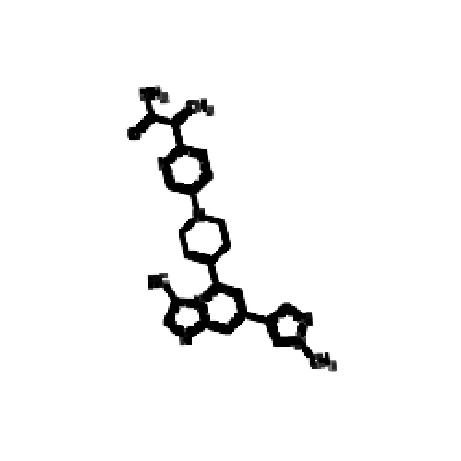 C=C(C(N)=O)c1ccc(N2CC=C(c3cc(-c4cnn(C)c4)cc4ncc(C#N)n34)CC2)cn1